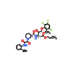 C=CCOC(=O)C[C@H](NC(=O)[C@H]1CCCN(C(=O)C(=O)Nc2ccccc2C(C)(C)C)C1)C(=O)COc1c(C)c(F)cc(F)c1F